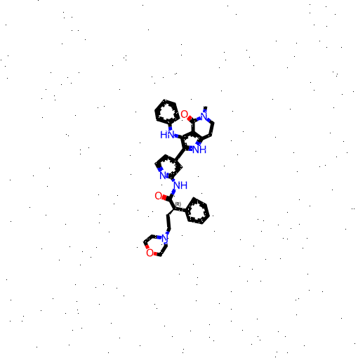 CN1CCc2[nH]c(-c3ccnc(NC(=O)[C@H](CCN4CCOCC4)c4ccccc4)c3)c(Nc3ccccc3)c2C1=O